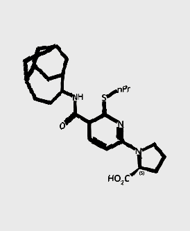 CCCSC1N=C(N2CCC[C@H]2C(=O)O)C=CC1C(=O)NC1CCC2CC3CC2CC1C3